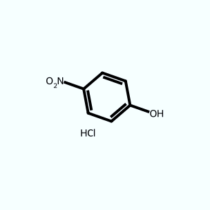 Cl.O=[N+]([O-])c1ccc(O)cc1